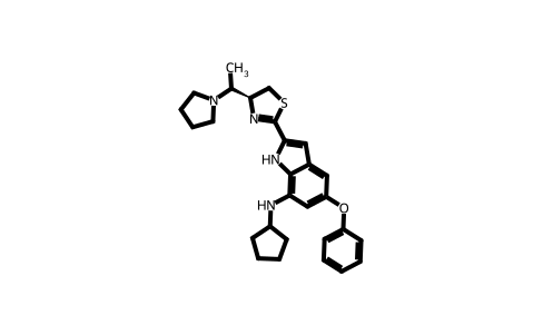 CC([C@H]1CSC(c2cc3cc(Oc4ccccc4)cc(NC4CCCC4)c3[nH]2)=N1)N1CCCC1